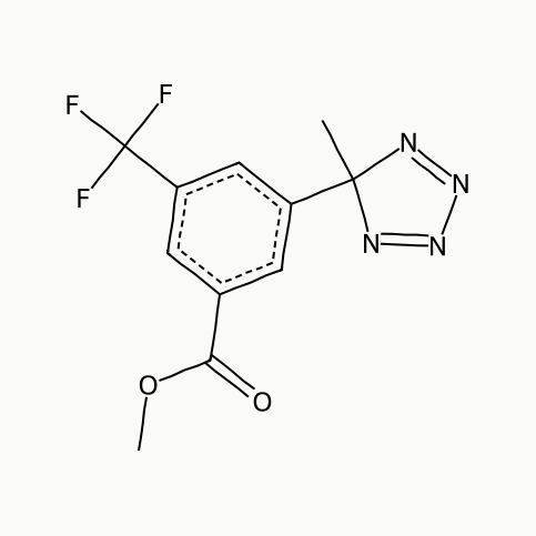 COC(=O)c1cc(C(F)(F)F)cc(C2(C)N=NN=N2)c1